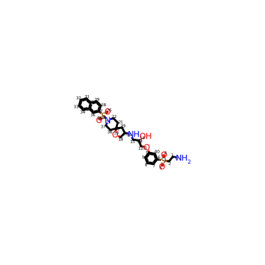 NCCS(=O)(=O)c1cccc(OC[C@@H](O)CNC2COC3(CCN(S(=O)(=O)c4ccc5ccccc5c4)CC3)C2)c1